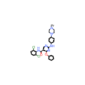 CC(C)N1CCN(c2ccc(Nc3ncc(C(=O)Nc4c(Cl)cccc4Cl)c(Oc4ccccc4)n3)cc2)CC1